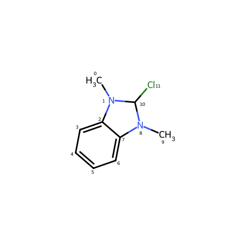 CN1c2ccccc2N(C)C1Cl